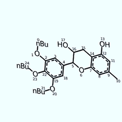 CCCCOc1cc(C2Oc3cc(C)cc(O)c3CC2O)cc(OCCCC)c1OCCCC